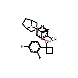 N#Cc1ccc(N2C3CCC2CN(C(=O)CNC2(c4ccc(F)cc4F)CCC2)C3)nc1